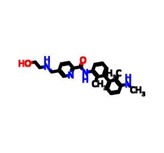 CNc1cccc(-c2cccc(NC(=O)c3ccc(CNCCO)cn3)c2C)c1C